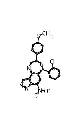 CSc1ccc(-c2cnc3c(cc([N+](=O)[O-])c4nncc43)c(-c3ccccc3Cl)n2)cc1